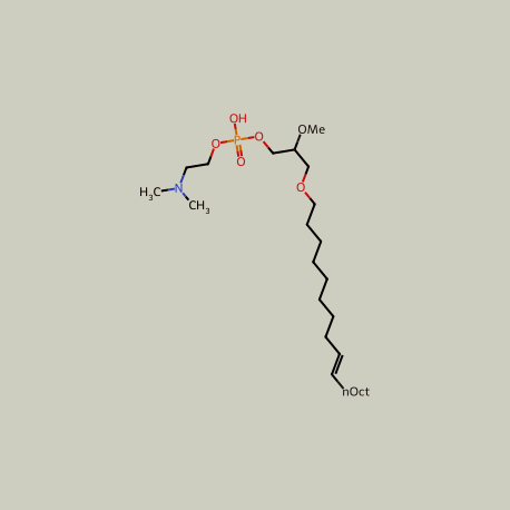 CCCCCCCC/C=C/CCCCCCCCOCC(COP(=O)(O)OCCN(C)C)OC